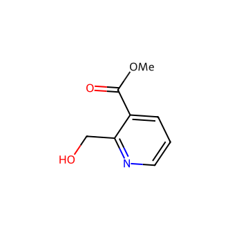 COC(=O)c1cccnc1CO